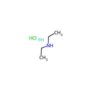 CCNCC.Cl.F